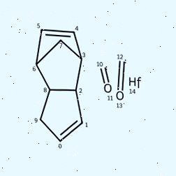 C1=CC2C3C=CC(C3)C2C1.[C]=O.[C]=O.[Hf]